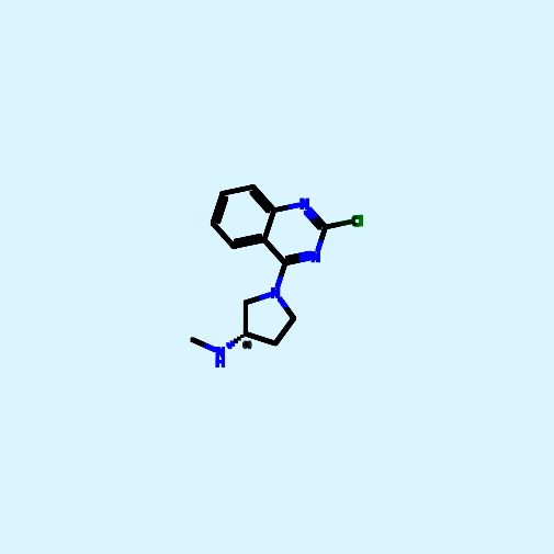 CN[C@H]1CCN(c2nc(Cl)nc3ccccc23)C1